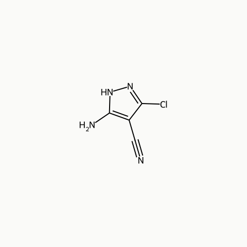 N#Cc1c(Cl)n[nH]c1N